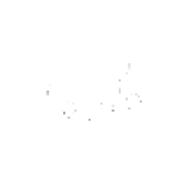 O=S(=O)(Nc1ccc(F)cc1-c1ccc2c(c1)OC[C@H](Cc1ccc(-c3cncs3)cn1)[C@H]2O)C(F)(F)F